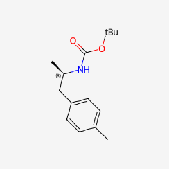 Cc1ccc(C[C@@H](C)NC(=O)OC(C)(C)C)cc1